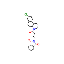 O=C(CCCN1C(=O)c2ccccc2C1=O)N1CCCC2=C1CCc1cc(Cl)ccc12